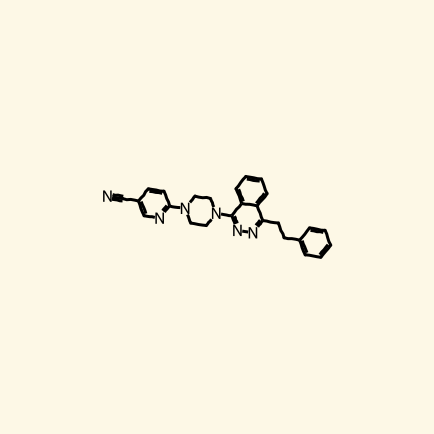 N#Cc1ccc(N2CCN(c3nnc(CCc4ccccc4)c4ccccc34)CC2)nc1